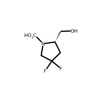 O=C(O)N1CC(F)(F)C[C@H]1CO